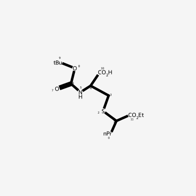 CCCC(SCC(NC(=O)OC(C)(C)C)C(=O)O)C(=O)OCC